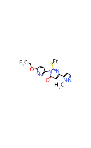 CCSc1nc(-c2ccnn2C)cc(=O)n1-c1ccc(OCC(F)(F)F)nc1